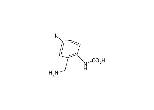 NCc1cc(I)ccc1NC(=O)O